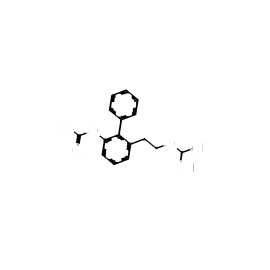 CC(C)OCCc1cccc(OC(=O)O)c1-c1ccccc1